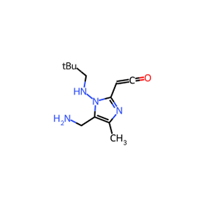 Cc1nc(C=C=O)n(NCC(C)(C)C)c1CN